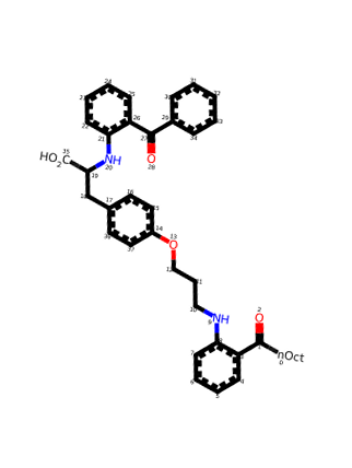 CCCCCCCCC(=O)c1ccccc1NCCCOc1ccc(CC(Nc2ccccc2C(=O)c2ccccc2)C(=O)O)cc1